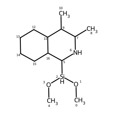 CO[SiH](OC)C1NC(C)C(C)C2CCCCC21